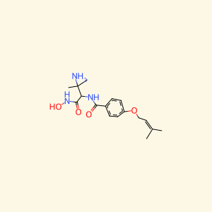 CC(C)=CCOc1ccc(C(=O)NC(C(=O)NO)C(C)(C)N)cc1